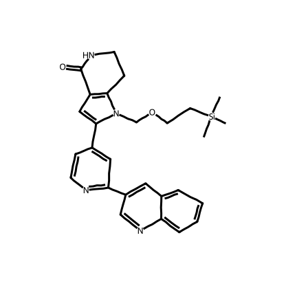 C[Si](C)(C)CCOCn1c(-c2ccnc(-c3cnc4ccccc4c3)c2)cc2c1CCNC2=O